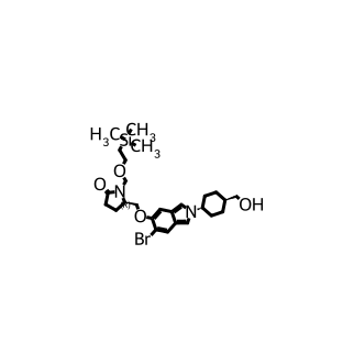 C[Si](C)(C)CCOCN1C(=O)CC[C@@H]1COc1cc2cn([C@H]3CC[C@H](CO)CC3)cc2cc1Br